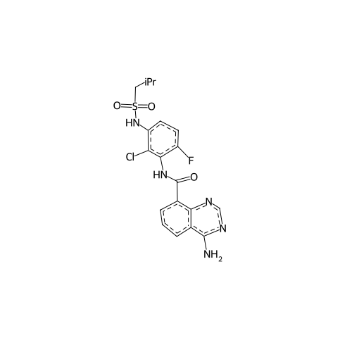 CC(C)CS(=O)(=O)Nc1ccc(F)c(NC(=O)c2cccc3c(N)ncnc23)c1Cl